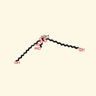 CCCCCCCCC(OCCCCCCCCCCCCCCCCCCO)(OCCCCCCCCCCCCCCCCCCO)C(=O)OCC(O)CO